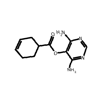 Nc1ncnc(N)c1OC(=O)C1CC=CCC1